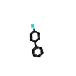 F[C]1C=CC(c2ccccc2)C=C1